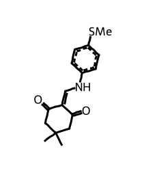 CSc1ccc(NC=C2C(=O)CC(C)(C)CC2=O)cc1